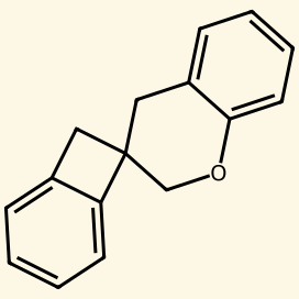 c1ccc2c(c1)CC1(CO2)Cc2ccccc21